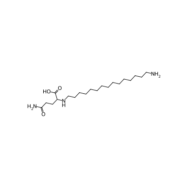 NCCCCCCCCCCCCCCCNC(CCC(N)=O)C(=O)O